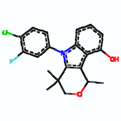 CC1OCC(C)(C)c2c1c1c(O)cccc1n2-c1ccc(Cl)c(F)c1